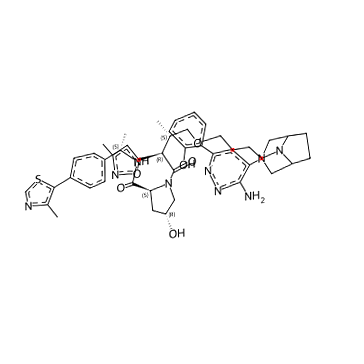 Cc1cc([C@H](C(=O)N2C[C@H](O)C[C@H]2C(=O)N[C@@H](C)c2ccc(-c3scnc3C)cc2)[C@H](C)COCCCCN2C3CCC2CN(c2cc(-c4ccccc4O)nnc2N)C3)on1